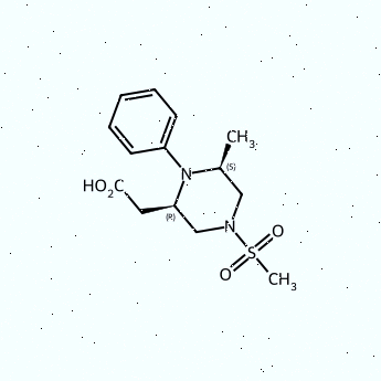 C[C@H]1CN(S(C)(=O)=O)C[C@@H](CC(=O)O)N1c1ccccc1